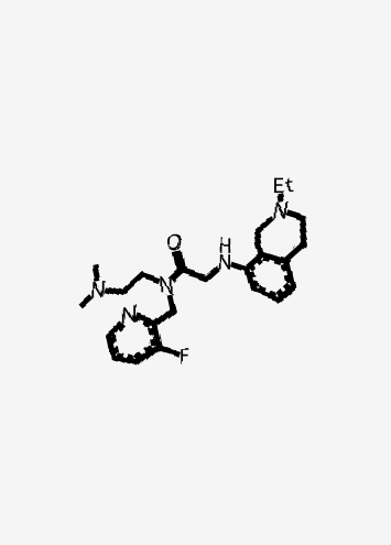 CCN1CCc2cccc(NCC(=O)N(CCN(C)C)Cc3ncccc3F)c2C1